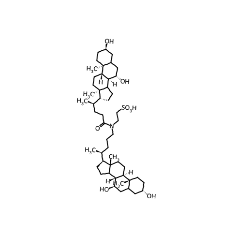 C[C@H](CCC(=O)N(CCC[C@H](C)[C@@H]1CCC2[C@H]3[C@H](O)CC4C[C@@H](O)CC[C@@]4(C)[C@@H]3CC[C@]21C)CCS(=O)(=O)O)[C@H]1CCC2[C@@H]3[C@@H](O)CC4C[C@H](O)CC[C@]4(C)[C@H]3CC[C@@]21C